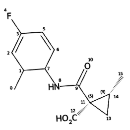 CC1C=C(F)C=CC1NC(=O)[C@]1(C(=O)O)C[C@H]1C